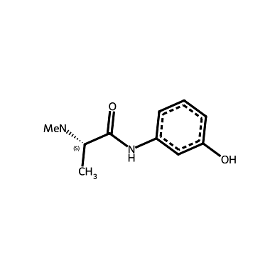 CN[C@@H](C)C(=O)Nc1cccc(O)c1